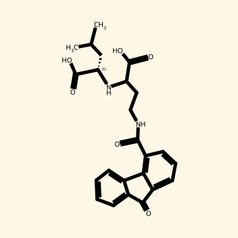 CC(C)C[C@H](NC(CCNC(=O)c1cccc2c1-c1ccccc1C2=O)C(=O)O)C(=O)O